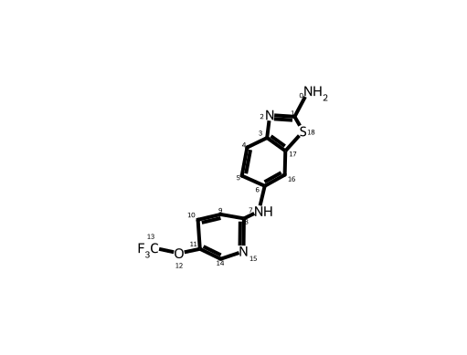 Nc1nc2ccc(Nc3ccc(OC(F)(F)F)cn3)cc2s1